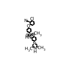 COc1ccc(N2C[C@@H](C)N[C@@H](C)C2)cc1NS(=O)(=O)c1ccc(Oc2cccc(Cl)c2C#N)cc1